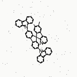 Cc1cc2c(cc1C)C1(c3cc(-n4c5ccccc5c5ccccc54)ccc3-c3ccc(-n4c5ccccc5c5ccccc54)cc31)c1ncccc1-2